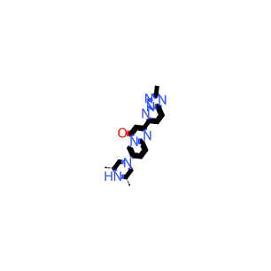 Cc1nc2ccc(-c3cc(=O)n4cc(N5C[C@@H](C)N[C@@H](C)C5)ccc4n3)nn2n1